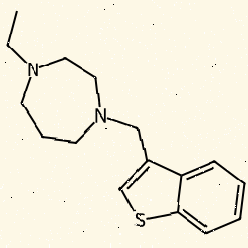 CCN1CCCN(Cc2csc3ccccc23)CC1